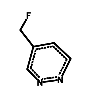 FCc1ccnnc1